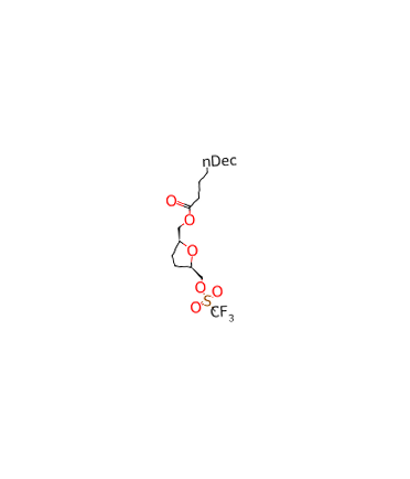 CCCCCCCCCCCCCC(=O)OC[C@@H]1CC[C@H](COS(=O)(=O)C(F)(F)F)O1